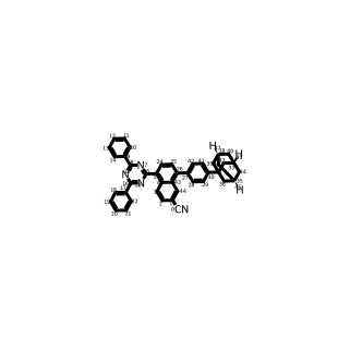 N#Cc1ccc2c(-c3nc(-c4ccccc4)nc(-c4ccccc4)n3)ccc(-c3ccc(C45C[C@H]6C[C@@H](C4)C[C@@H](C5)C6)cc3)c2c1